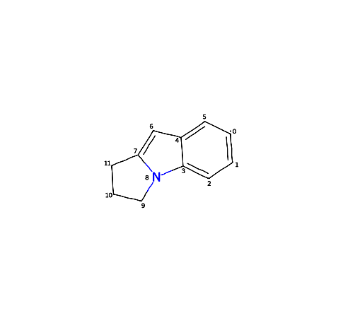 [c]1ccc2c(c1)cc1n2CCC1